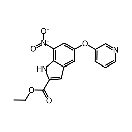 CCOC(=O)c1cc2cc(Oc3cccnc3)cc([N+](=O)[O-])c2[nH]1